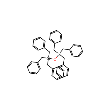 c1ccc(C[Si](Cc2ccccc2)(Cc2ccccc2)O[Si](Cc2ccccc2)(Cc2ccccc2)Cc2ccccc2)cc1